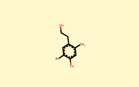 Cc1cc(O)c(C(C)C)cc1CCO